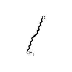 CCCCCCCCC#CC/C=C/CCCC[C]=O